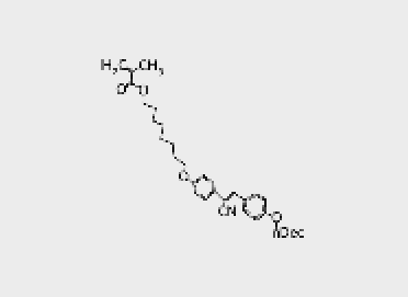 C=C(C)C(=O)OCCCCCCCCOc1ccc(C(C#N)=Cc2ccc(OCCCCCCCCCC)cc2)cc1